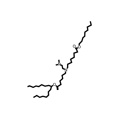 C=C(CCCCCN(CCCCCCCC(=O)OCCCCCCCCC)CCN(C)C)OC(CCCCCCCC)CCCCCCCC